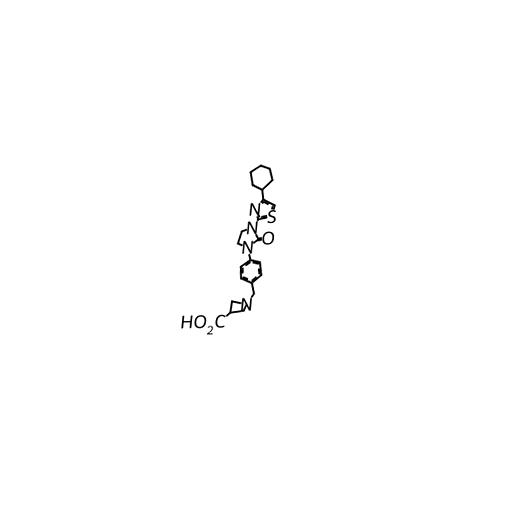 O=C(O)C1CN(Cc2ccc(N3CCN(c4nc(C5CCCCC5)cs4)C3=O)cc2)C1